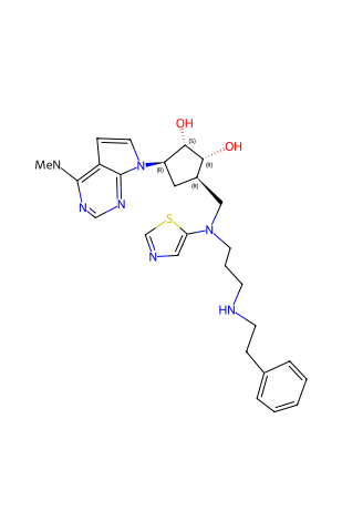 CNc1ncnc2c1ccn2[C@@H]1C[C@H](CN(CCCNCCc2ccccc2)c2cncs2)[C@@H](O)[C@H]1O